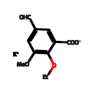 CCOc1c(OC)cc(C=O)cc1C(=O)[O-].[K+]